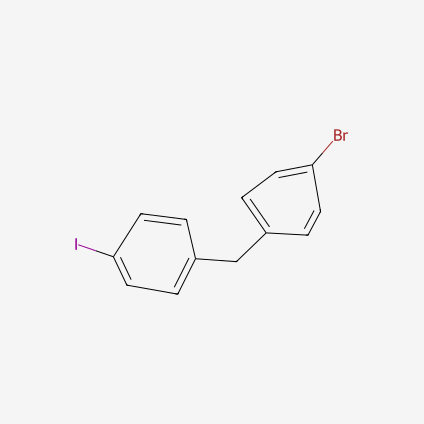 Brc1ccc(Cc2ccc(I)cc2)cc1